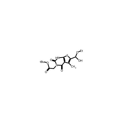 CCOC(O)c1sc2[nH]c(=O)n(CC(=O)OC(C)(C)C)c(=O)c2c1C